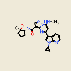 CNc1cc(-c2cn(C3CC3)c3ncccc23)nc2c(C(=O)N[C@@H]3CCC[C@@]3(C)O)cnn12